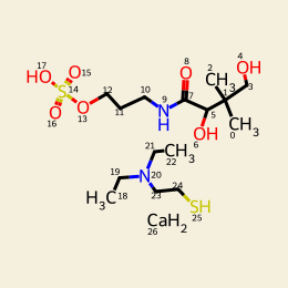 CC(C)(CO)C(O)C(=O)NCCCOS(=O)(=O)O.CCN(CC)CCS.[CaH2]